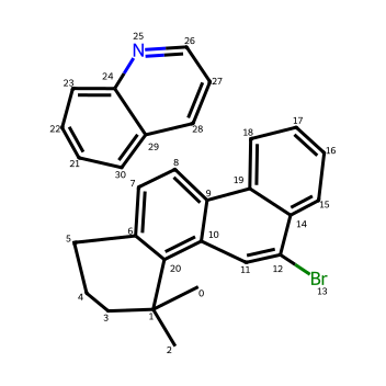 CC1(C)CCCc2ccc3c(cc(Br)c4ccccc43)c21.c1ccc2ncccc2c1